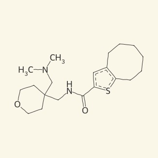 CN(C)CC1(CNC(=O)c2cc3c(s2)CCCCCC3)CCOCC1